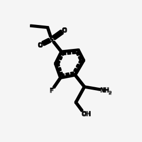 CCS(=O)(=O)c1ccc(C(N)CO)c(F)c1